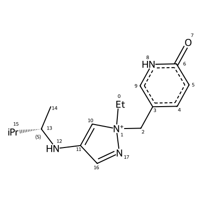 CC[N+]1(Cc2ccc(=O)[nH]c2)C=C(N[C@@H](C)C(C)C)C=N1